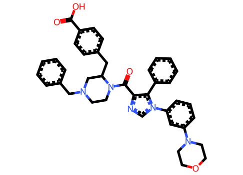 O=C(O)c1ccc(CC2CN(Cc3ccccc3)CCN2C(=O)c2ncn(-c3cccc(N4CCOCC4)c3)c2-c2ccccc2)cc1